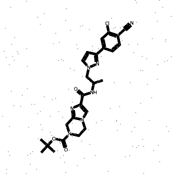 CC(Cn1ccc(-c2ccc(C#N)c(Cl)c2)n1)NC(=O)c1cn2c(n1)CN(C(=O)OC(C)(C)C)CC2